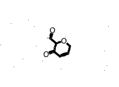 O=[C]C1OCC=CC1=O